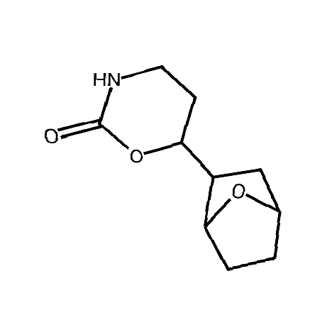 O=C1NCCC(C2CC3CCC2O3)O1